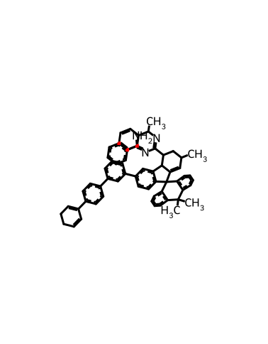 CC1C=C2C(c3cc(-c4cccc(-c5ccc(C6=CCCC=C6)cc5)c4)ccc3C23c2ccccc2C(C)(C)c2ccccc23)C(C(/N=C(\N)c2ccccc2)=N/C(C)C2C=CC=CC2)C1